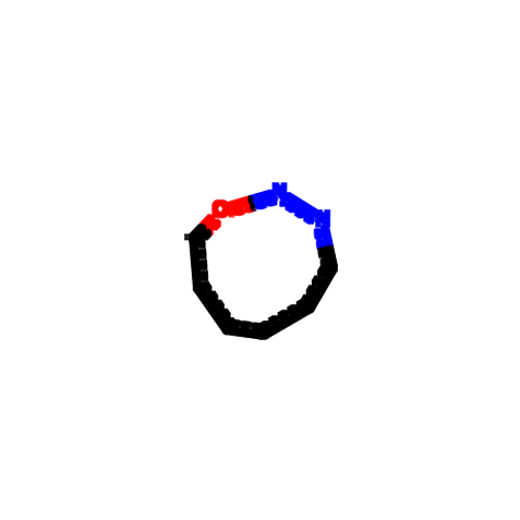 [c]1cccccnno1